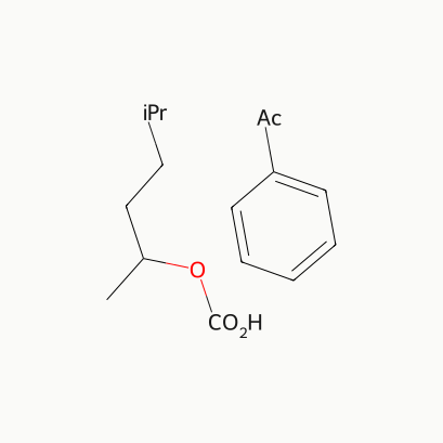 CC(=O)c1ccccc1.CC(C)CCC(C)OC(=O)O